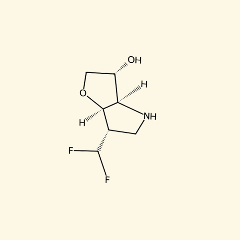 O[C@H]1CO[C@H]2[C@@H]1NC[C@@H]2C(F)F